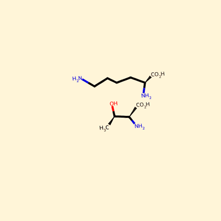 C[C@@H](O)[C@H](N)C(=O)O.NCCCC[C@H](N)C(=O)O